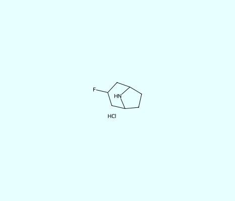 Cl.FC1CC2CCC(C1)N2